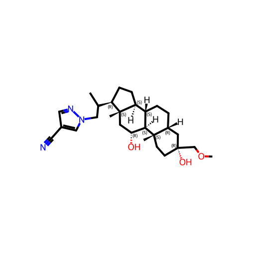 COC[C@@]1(O)CC[C@@]2(C)[C@H](CC[C@@H]3[C@@H]2[C@H](O)C[C@]2(C)[C@@H](C(C)Cn4cc(C#N)cn4)CC[C@@H]32)C1